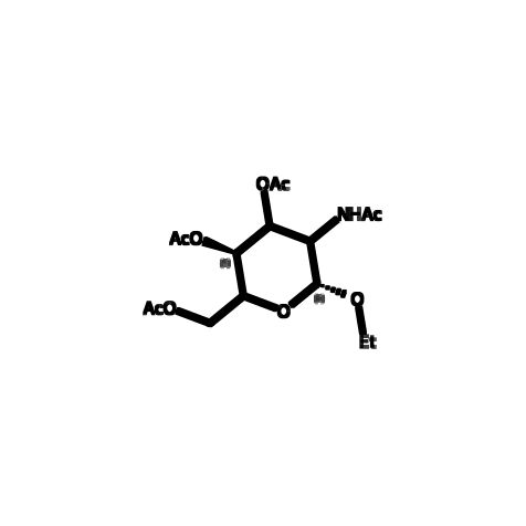 CCO[C@@H]1OC(COC(C)=O)[C@@H](OC(C)=O)C(OC(C)=O)C1NC(C)=O